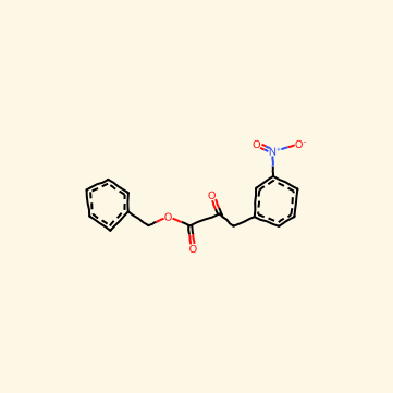 O=C(Cc1cccc([N+](=O)[O-])c1)C(=O)OCc1ccccc1